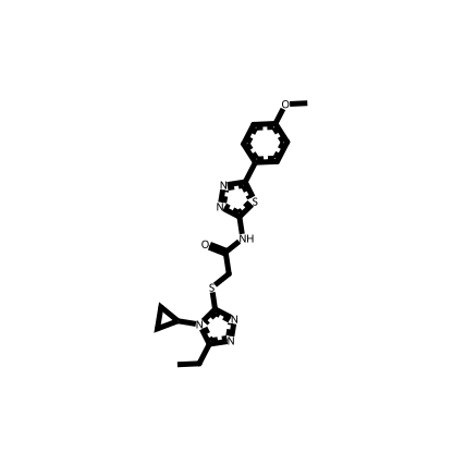 CCc1nnc(SCC(=O)Nc2nnc(-c3ccc(OC)cc3)s2)n1C1CC1